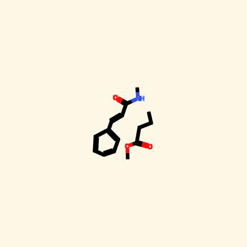 CCCC(=O)OC.CNC(=O)C=Cc1ccccc1